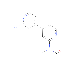 CN(C(=O)O)c1cc(-c2ccnc(N)c2)ccn1